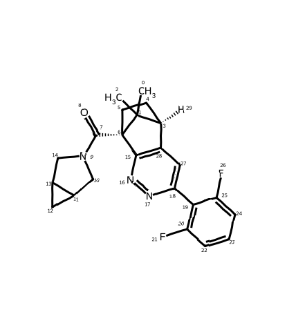 CC1(C)[C@H]2CC[C@]1(C(=O)N1CC3CC3C1)c1nnc(-c3c(F)cccc3F)cc12